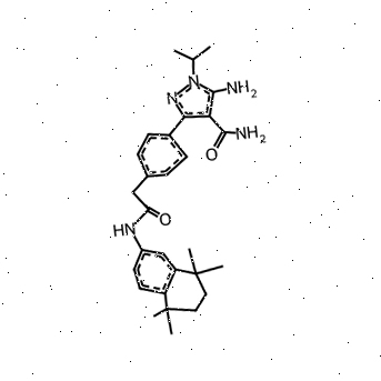 CC(C)n1nc(-c2ccc(CC(=O)Nc3ccc4c(c3)C(C)(C)CCC4(C)C)cc2)c(C(N)=O)c1N